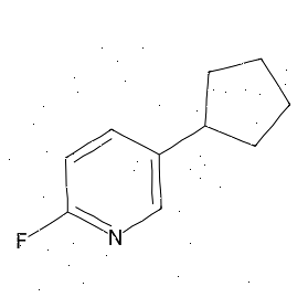 Fc1ccc(C2CCCC2)cn1